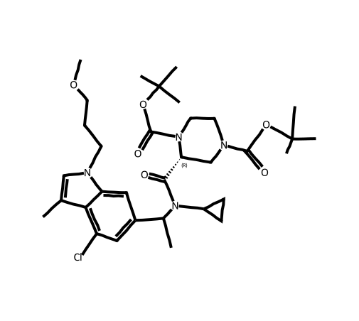 COCCCn1cc(C)c2c(Cl)cc(C(C)N(C(=O)[C@H]3CN(C(=O)OC(C)(C)C)CCN3C(=O)OC(C)(C)C)C3CC3)cc21